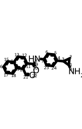 NC1CC1c1ccc(NC(=O)c2ccc3ccccc3c2C=O)cc1